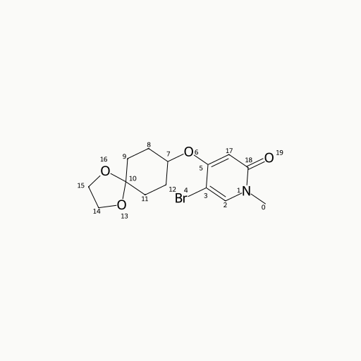 Cn1cc(Br)c(OC2CCC3(CC2)OCCO3)cc1=O